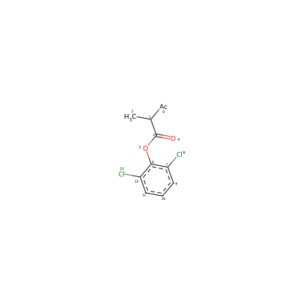 CC(=O)C(C)C(=O)Oc1c(Cl)cccc1Cl